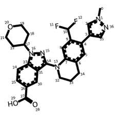 Cn1cc(-c2cc3c(cc2C(F)F)N(c2nn(C4CCOCC4)c4ccc(C(=O)O)cc24)CCC3)cn1